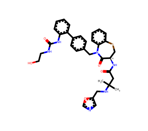 CC(C)(CC(=O)N[C@@H]1CSc2ccccc2N(Cc2ccc(-c3ccccc3NC(=O)NCCO)cc2)C1=O)NCc1cnco1